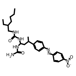 CCCCC(CC)CNC(=O)NC(CC(C)c1ccc(N=Nc2ccc([N+](=O)[O-])cc2)cc1)NC(N)=O